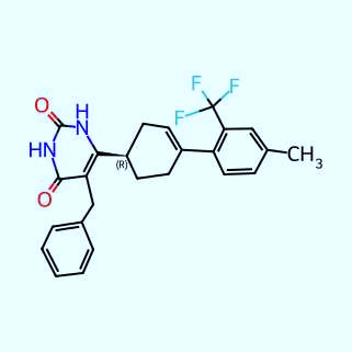 Cc1ccc(C2=CC[C@H](c3[nH]c(=O)[nH]c(=O)c3Cc3ccccc3)CC2)c(C(F)(F)F)c1